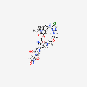 CNC(=O)COc1cc2cc(Nc3nc(N4CCC(O[C@H]5C[C@H](N6CCC(c7ccc8c(n7)CN(C7CCC(=O)NC7=O)C8O)CC6)C5)CC4)ncc3Cl)ccc2n(C(C)C)c1=O